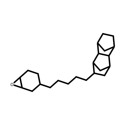 C(CCC1CCC2OC2C1)CCC1CC2CC1C1C3CCC(C3)C21